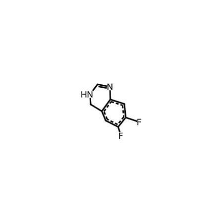 Fc1cc2c(cc1F)N=CNC2